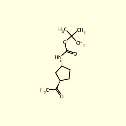 CC(=O)[C@@H]1CC[C@@H](NC(=O)OC(C)(C)C)C1